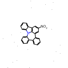 O=[N+]([O-])c1cc2c3c(c1)c1ccccc1n3-c1ccccc1-c1ccccc1-2